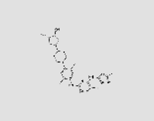 Cc1cc(Nc2nc(Nc3cc(C)c(C4CCC(N5C[C@H](O)[C@@H](O)C5)CC4)cc3F)ncc2C(F)(F)F)n[nH]1